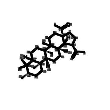 C=C(C)[C@@H]1CC[C@]2(C(C)=O)CC[C@]3(C)[C@H](CC[C@@H]4[C@@]5(C)CC[C@H](C)C(C)(C)[C@@H]5CC[C@]43C)[C@@H]12